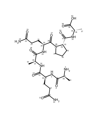 C[C@H](N)C(=O)N[C@@H](CCC(N)=O)C(=O)N[C@@H](C)C(=O)N[C@@H](CCC(N)=O)C(=O)N1CCC[C@H]1C(=O)N[C@@H](C)C(=O)O